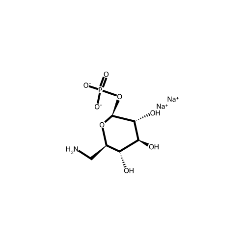 NC[C@H]1O[C@@H](OP(=O)([O-])[O-])[C@H](O)[C@@H](O)[C@@H]1O.[Na+].[Na+]